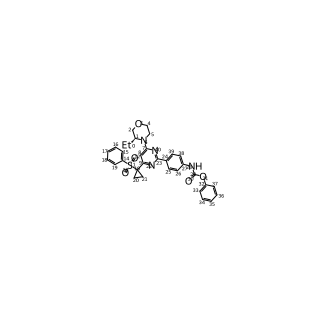 CC[C@H]1COCCN1c1cc(C2(S(=O)(=O)c3ccccc3)CC2)nc(-c2ccc(NC(=O)Oc3ccccc3)cc2)n1